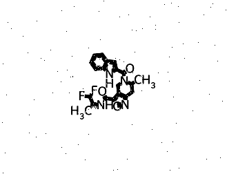 CC1Cc2noc(C(=O)N[C@H](C)C(F)F)c2CN1C(=O)c1cc2ccccc2[nH]1